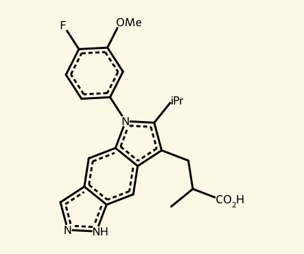 COc1cc(-n2c(C(C)C)c(CC(C)C(=O)O)c3cc4[nH]ncc4cc32)ccc1F